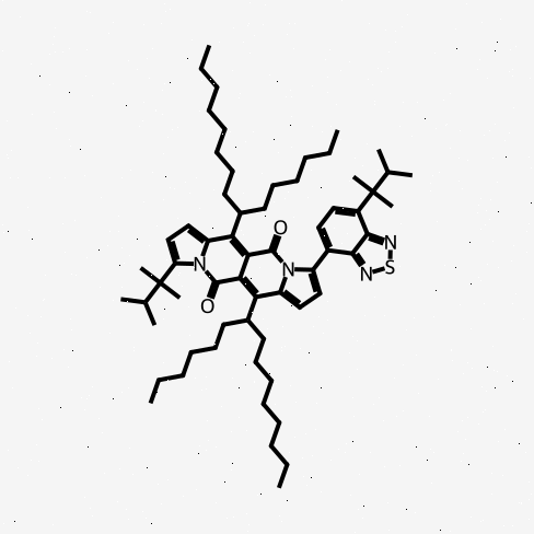 CCCCCCCCC(CCCCCC)c1c2c(=O)n3c(C(C)(C)C(C)C)ccc3c(C(CCCCCC)CCCCCCCC)c2c(=O)n2c(-c3ccc(C(C)(C)C(C)C)c4nsnc34)ccc12